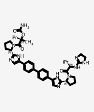 CC(C)[C@@H](NC1=NCCN1)C(=O)N1CCC[C@H]1c1ncc(-c2ccc(-c3ccc(-c4cnc([C@@H]5CCCN5C(=O)[C@@](C)(OC(N)=O)C(C)C)[nH]4)cc3)cc2)[nH]1